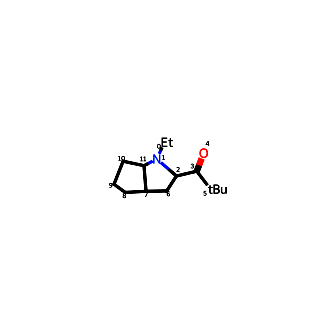 CCN1C(C(=O)C(C)(C)C)CC2CCCC21